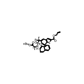 C=CCOC(=O)c1cc2cc(C(F)(F)P(=O)(N[C@@H](C)C(=O)OCCCC)Oc3cccc4ccccc34)ccc2s1